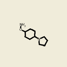 NOC1CCC(N2CCCC2)CC1